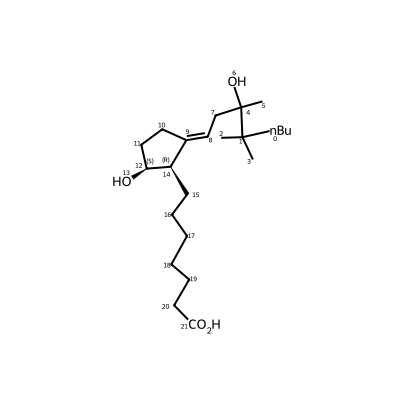 CCCCC(C)(C)C(C)(O)CC=C1CC[C@H](O)[C@@H]1CCCCCCC(=O)O